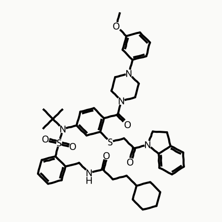 COc1cccc(N2CCN(C(=O)c3ccc(N(C(C)(C)C)S(=O)(=O)c4ccccc4CNC(=O)CCC4CCCCC4)cc3SCC(=O)N3CCc4ccccc43)CC2)c1